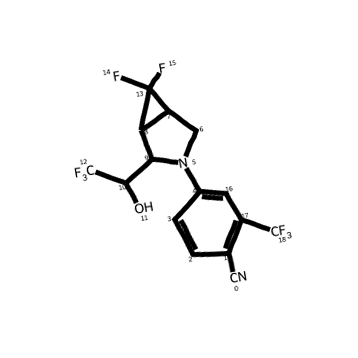 N#Cc1ccc(N2CC3C(C2C(O)C(F)(F)F)C3(F)F)cc1C(F)(F)F